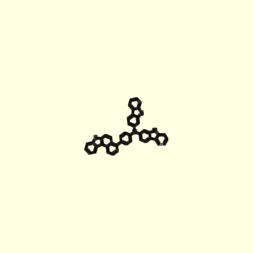 c1ccc2c(c1)oc1cc(N(c3ccc(-c4cccc5c4ccc4sc6ccccc6c45)cc3)c3ccc4c(c3)sc3ccccc34)ccc12